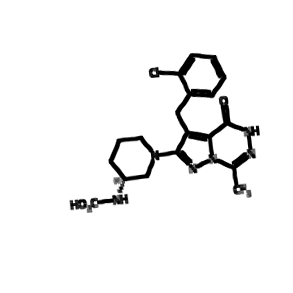 O=C(O)N[C@@H]1CCCN(c2nn3c(C(F)(F)F)n[nH]c(=O)c3c2Cc2ccccc2Cl)C1